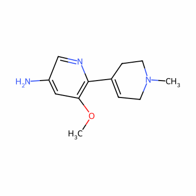 COc1cc(N)cnc1C1=CCN(C)CC1